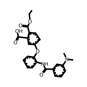 CCOC(=O)c1ccc(Oc2ccccc2NC(=O)c2cccc(N(C)C)c2)cc1C(=O)O